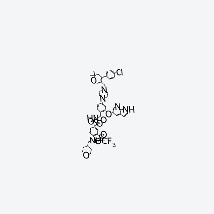 CC1(C)CC(c2ccc(Cl)cc2)=C(CN2CCN(c3ccc(C(=O)NS(=O)(=O)c4ccc(NCC5CCOCC5)c(S(=O)(=O)C(F)(F)F)c4)c(Oc4cnc5[nH]ccc5c4)c3)CC2)CO1